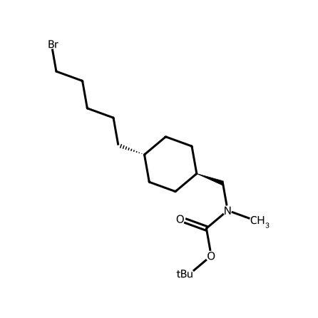 CN(C[C@H]1CC[C@H](CCCCCBr)CC1)C(=O)OC(C)(C)C